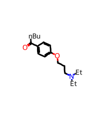 CCCCC(=O)c1ccc(OCCCN(CC)CC)cc1